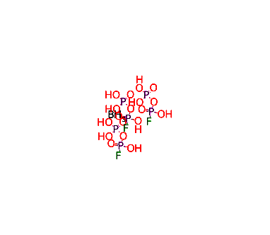 B.O=P(O)(O)OP(=O)(O)F.O=P(O)(O)OP(=O)(O)F.O=P(O)(O)OP(=O)(O)F